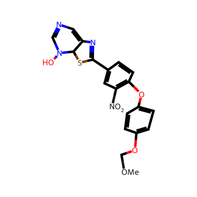 COCOc1ccc(Oc2ccc(C3=NC4=CN=CN(O)C4S3)cc2[N+](=O)[O-])cc1